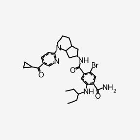 CCC(CC)Nc1cc(C(=O)NC2CC3CCCN(c4ccc(C(=O)C5CC5)cn4)C3C2)c(Br)cc1C(N)=O